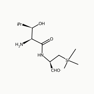 CC(C)[C@@H](O)[C@H](N)C(=O)N[C@H]([C]=O)C[Si](C)(C)C